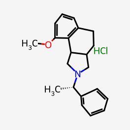 COc1cccc2c1C1CN([C@@H](C)c3ccccc3)CC1CC2.Cl